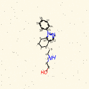 OCCNCC[C@@H]1CCCc2c1cnn2-c1ccccc1